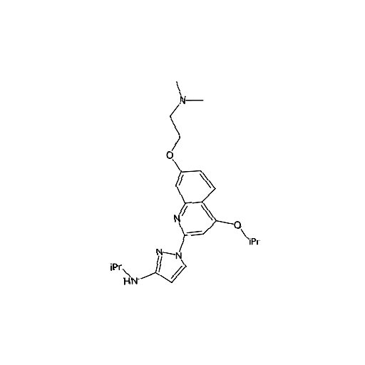 CC(C)Nc1ccn(-c2cc(OC(C)C)c3ccc(OCCN(C)C)cc3n2)n1